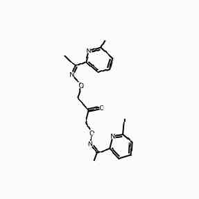 C/C(=N/OCC(=O)CO/N=C(/C)c1cccc(C)n1)c1cccc(C)n1